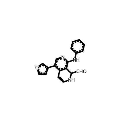 O=CC1NC=Cc2c(-c3ccoc3)cnc(Nc3ccccc3)c21